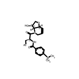 CC(C)C[C@H](NC(=O)c1ccc(N(C)C)cc1)C(=O)N1CC#C[C@H]2OC[C@H](O)[C@H]21